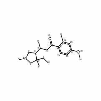 CCC1(C)CN(C)CC1C(C)CC(=O)c1ccc(OC)cc1C